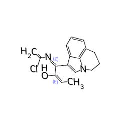 C=C(Cl)/N=C(\C(O)=C/C)c1cn2c3c(cccc13)CCC2